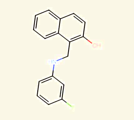 Oc1ccc2ccccc2c1CNc1cccc(F)c1